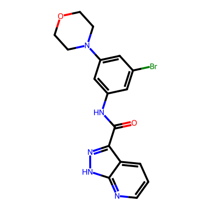 O=C(Nc1cc(Br)cc(N2CCOCC2)c1)c1n[nH]c2ncccc12